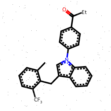 CCC(=O)c1ccc(-n2cc(Cc3c(C)cccc3C(F)(F)F)c3ccccc32)cc1